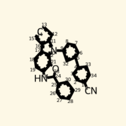 N#Cc1ccc(-c2cccc(-n3c4ccccc4c4ccc5c(c43)OC(c3ccccc3)N5)c2)cc1